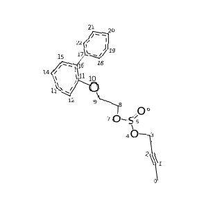 CC#CCOS(=O)OCCOc1ccccc1-c1ccccc1